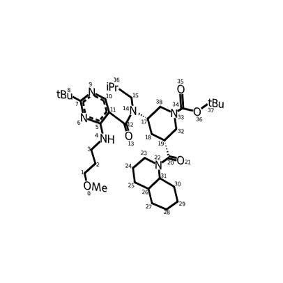 COCCCNc1nc(C(C)(C)C)ncc1C(=O)N(CC(C)C)[C@H]1C[C@@H](C(=O)N2CCCC3CCCCC32)CN(C(=O)OC(C)(C)C)C1